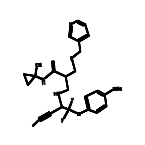 CC#CC(NCC(CSCc1cccnc1)C(=O)NC1(C#N)CC1)C(F)(F)Oc1ccc(SC)cc1